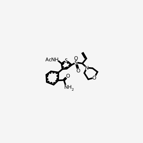 C=CC(N1CCOCC1)S(=O)(=O)c1cc(-c2ccccc2C(N)=O)c(NC(C)=O)s1